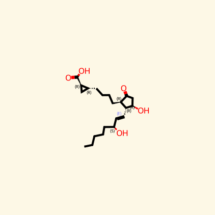 CCCCC[C@H](O)/C=C/[C@H]1[C@H](O)CC(=O)[C@@H]1CCCC[C@@H]1C[C@H]1C(=O)O